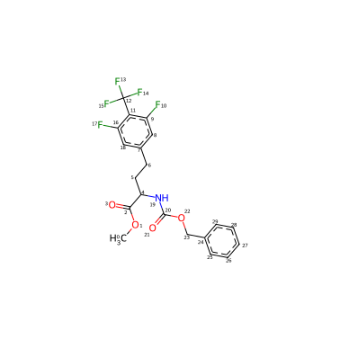 COC(=O)C(CCc1cc(F)c(C(F)(F)F)c(F)c1)NC(=O)OCc1ccccc1